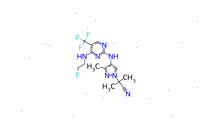 Cc1nn(C(C)(C)C#N)cc1Nc1ncc(C(F)(F)F)c(NCCF)n1